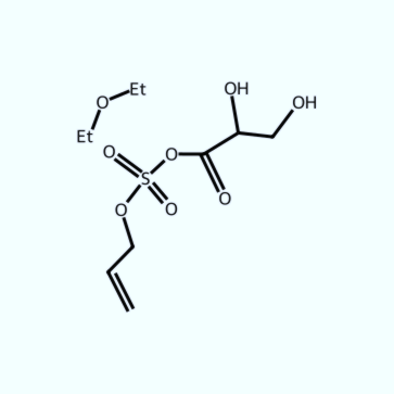 C=CCOS(=O)(=O)OC(=O)C(O)CO.CCOCC